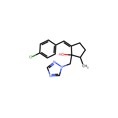 CC1CCC(=Cc2ccc(Cl)cc2)C1(O)Cn1cncn1